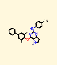 Cc1cc(-c2ccccc2)cc(C)c1Oc1nc(Nc2ccc(C#N)cc2)nc2ccn(C)c12